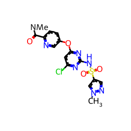 CNC(=O)c1ccc(Oc2cc(Cl)nc(NS(=O)(=O)c3cnn(C)c3)n2)cn1